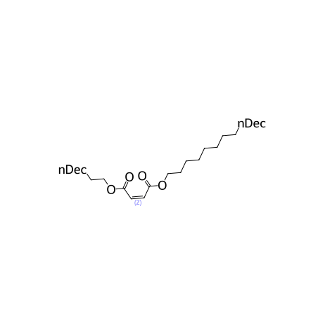 CCCCCCCCCCCCCCCCCCOC(=O)/C=C\C(=O)OCCCCCCCCCCCC